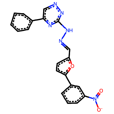 O=[N+]([O-])c1cccc(-c2ccc(/C=N/Nc3nncc(-c4ccccc4)n3)o2)c1